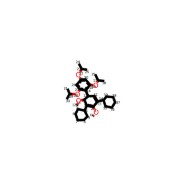 COC1=C(C2CCCCC2)C(OC)C(c2c(OC(C)C)cc(OC(C)C)cc2OC(C)C)[C]=C1C1CCCCC1